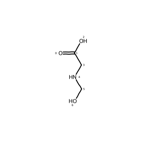 O=C(O)CNCO